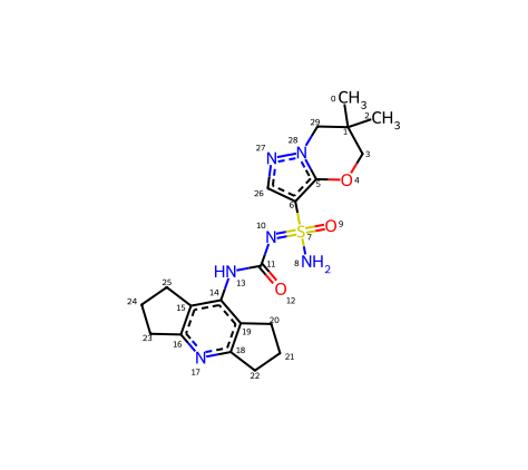 CC1(C)COc2c(S(N)(=O)=NC(=O)Nc3c4c(nc5c3CCC5)CCC4)cnn2C1